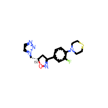 Fc1cc(C2=NO[C@H](Cn3ccnn3)C2)ccc1N1CCSCC1